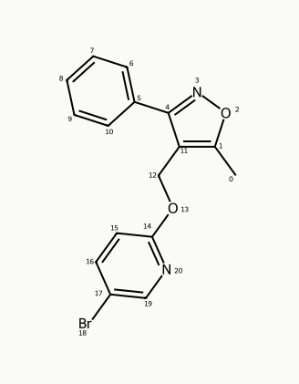 Cc1onc(-c2ccccc2)c1COc1ccc(Br)cn1